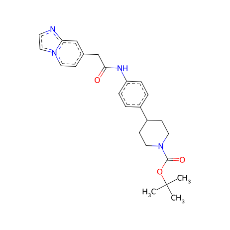 CC(C)(C)OC(=O)N1CCC(c2ccc(NC(=O)Cc3ccn4ccnc4c3)cc2)CC1